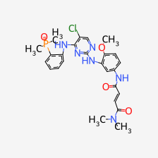 COc1ccc(NC(=O)/C=C/C(=O)N(C)C)cc1Nc1ncc(Cl)c(Nc2ccccc2P(C)(C)=O)n1